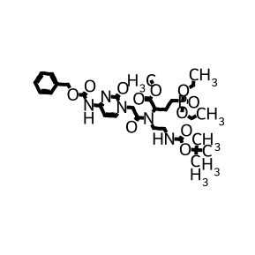 CCOP(=O)(CCC(C(=O)OC)N(CCNC(=O)OC(C)(C)C)C(=O)Cn1ccc(NC(=O)OCc2ccccc2)nc1=O)OCC